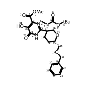 COC(=O)c1nc([C@]2(N(C)C(=O)OC(C)(C)C)CC[C@@H](COCc3ccccc3)OC2)[nH]c(=O)c1O